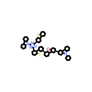 c1ccc(-n2c3ccccc3c3cc(-c4ccc5oc6c(-c7cccc8c7sc7cccc(-c9nc(-c%10ccc%11c(c%10)sc%10ccccc%10%11)nc(-n%10c%11ccccc%11c%11ccccc%11%10)n9)c78)cccc6c5c4)ccc32)cc1